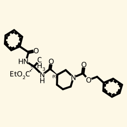 CCOC(=O)[C@@](C)(NC(=O)c1ccccc1)NC(=O)[C@@H]1CCCN(C(=O)OCc2ccccc2)C1